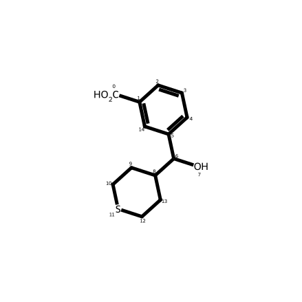 O=C(O)c1cccc(C(O)C2CCSCC2)c1